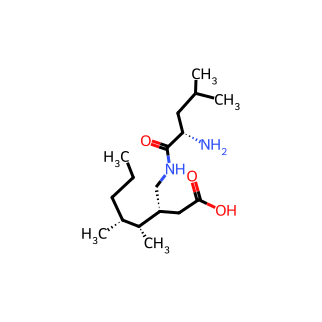 CCC[C@@H](C)[C@@H](C)[C@H](CNC(=O)[C@@H](N)CC(C)C)CC(=O)O